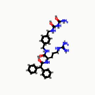 N=C(N)NCCC[C@@H](NC(=O)C(c1ccccc1)c1ccccc1)C(=O)NCc1ccc(CNC(=O)NC(N)=O)cc1